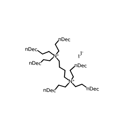 CCCCCCCCCCCC[N+](CCCCCCCCCCCC)(CCCCCCCCCCCC)CCCC[N+](CCCCCCCCCCCC)(CCCCCCCCCCCC)CCCCCCCCCCCC.[I-].[I-]